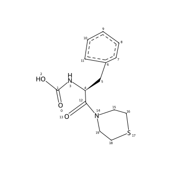 O=C(O)N[C@@H](Cc1ccccc1)C(=O)N1CCSCC1